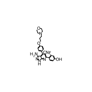 N#Cc1c(-c2ccc(O)cc2F)nc2[nH]nc(N)c2c1-c1ccc(OCCCN2CCOCC2)cc1